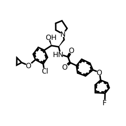 O=C(N[C@H](CN1CCCC1)[C@H](O)c1ccc(OC2CC2)c(Cl)c1)C(=O)c1ccc(Oc2ccc(F)cc2)cc1